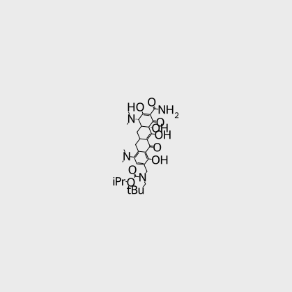 CC(C)OC(=O)N(Cc1cc(N(C)C)c2c(c1O)C(=O)C1=C(O)[C@]3(O)C(=O)C(C(N)=O)=C(O)[C@@H](N(C)C)C3CC1C2)CC(C)(C)C